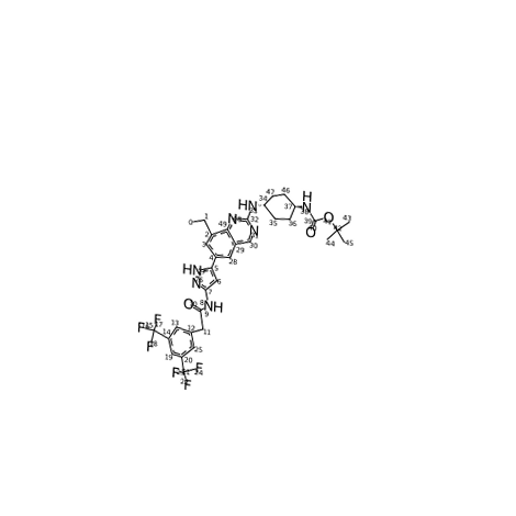 CCc1cc(-c2cc(NC(=O)Cc3cc(C(F)(F)F)cc(C(F)(F)F)c3)n[nH]2)cc2cnc(N[C@H]3CC[C@H](NC(=O)OC(C)(C)C)CC3)nc12